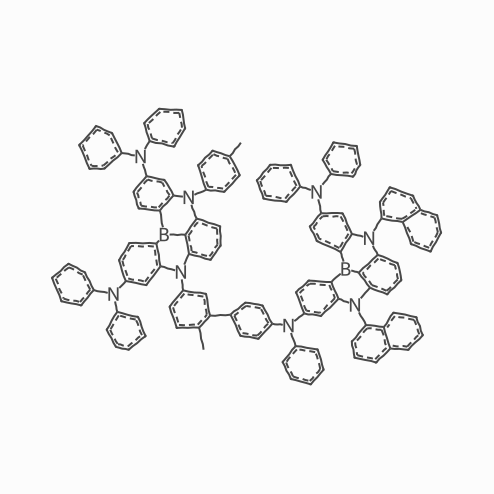 Cc1ccc(N2c3cc(N(c4ccccc4)c4ccccc4)ccc3B3c4ccc(N(c5ccccc5)c5ccccc5)cc4N(c4ccc(C)c(-c5ccc(N(c6ccccc6)c6ccc7c(c6)N(c6cccc8ccccc68)c6cccc8c6B7c6ccc(N(c7ccccc7)c7ccccc7)cc6N8c6cccc7ccccc67)cc5)c4)c4cccc2c43)cc1